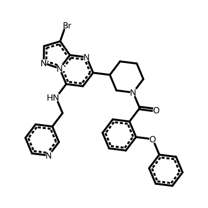 O=C(c1ccccc1Oc1ccccc1)N1CCCC(c2cc(NCc3cccnc3)n3ncc(Br)c3n2)C1